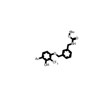 CC(=O)c1ccc(OCc2cccc(CNC(=O)OC(C)(C)C)c2)c(C(F)(F)F)c1O